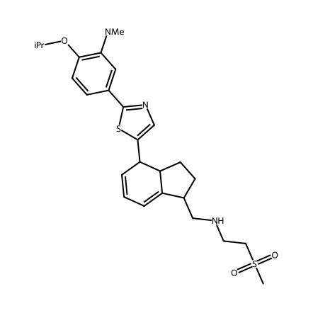 CNc1cc(-c2ncc(C3C=CC=C4C(CNCCS(C)(=O)=O)CCC43)s2)ccc1OC(C)C